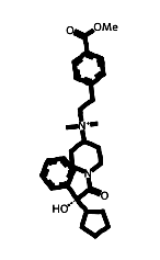 COC(=O)c1ccc(CC[N+](C)(C)C2CCN(C(=O)[C@](O)(c3ccccc3)C3CCCC3)CC2)cc1